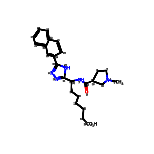 CN1CC[C@H](C(=O)N[C@@H](CCCCCC(=O)O)c2nnc(-c3ccc4ccccc4c3)[nH]2)C1